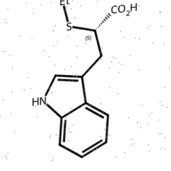 CCS[C@@H](Cc1c[nH]c2ccccc12)C(=O)O